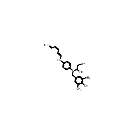 C=C/C=C\C=C\Nc1ccc(N(Cc2cc(C)c(O)c(C(C)(C)C)c2)C(C)CC(C)C)cc1